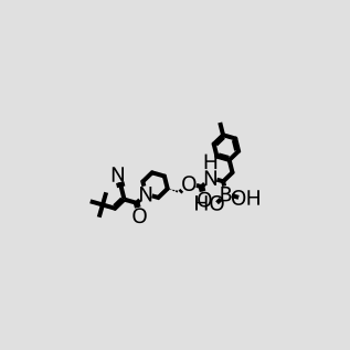 Cc1ccc(CC(NC(=O)OC[C@H]2CCCN(C(=O)C(C#N)=CC(C)(C)C)C2)B(O)O)cc1